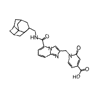 O=C(O)c1ccn(Cc2cn3c(C(=O)NCC45CC6CC7CC(C4)C7(C6)C5)cccc3n2)c(=O)c1